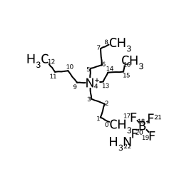 CCCC[N+](CCCC)(CCCC)CCCC.F[B-](F)(F)F.N